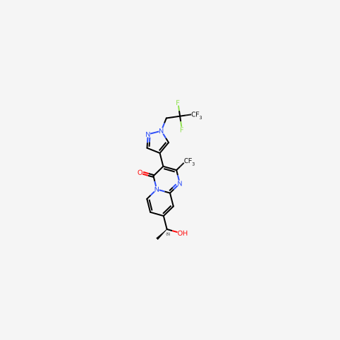 C[C@H](O)c1ccn2c(=O)c(-c3cnn(CC(F)(F)C(F)(F)F)c3)c(C(F)(F)F)nc2c1